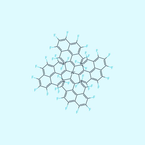 Fc1c(F)c2c(F)c(F)c3c(F)c(F)[c]([Al-]([c]4c(F)c(F)c5c(F)c(F)c6c(F)c(F)c(F)c7c(F)c(F)c4c5c67)([c]4c(F)c(F)c5c(F)c(F)c6c(F)c(F)c(F)c7c(F)c(F)c4c5c67)[c]4c(F)c(F)c5c(F)c(F)c6c(F)c(F)c(F)c7c(F)c(F)c4c5c67)c4c(F)c(F)c(c1F)c2c34